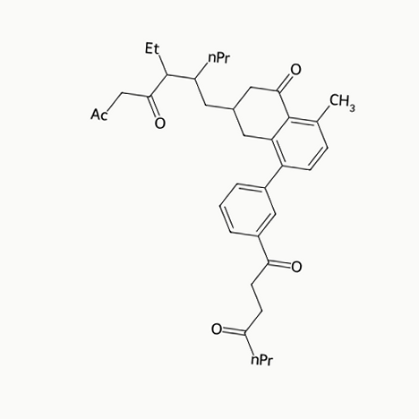 CCCC(=O)CCC(=O)c1cccc(-c2ccc(C)c3c2CC(CC(CCC)C(CC)C(=O)CC(C)=O)CC3=O)c1